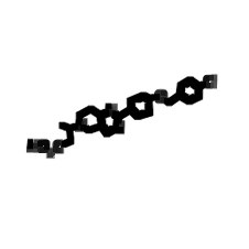 CC(CC(=O)O)N1CCc2nc(-c3ccc(OCc4ccc(Cl)cc4)cc3)ncc2C1